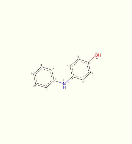 Oc1ccc(Nc2cc[c]cc2)cc1